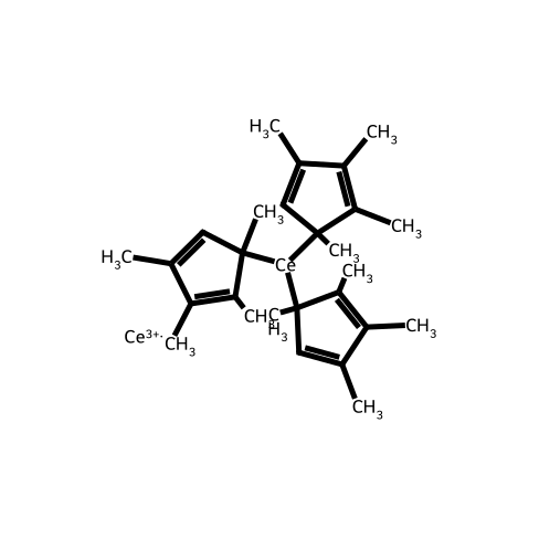 CC1=C[C](C)([Ce]([C]2(C)C=C(C)C(C)=C2C)[C]2(C)C=C(C)C(C)=C2C)C(C)=C1C.[Ce+3]